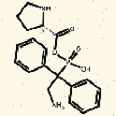 NCC(c1ccccc1)(c1ccccc1)P(=O)(O)OC(=O)[C@@H]1CCCN1